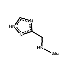 CC(C)(C)NCc1nc[nH]n1